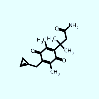 CC1=C(CC2=CC2)C(=O)C(C)=C(C(C)(C)CC(N)=O)C1=O